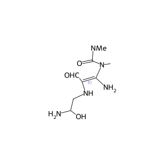 CNC(=O)N(C)/C(N)=C(\C=O)NCC(N)O